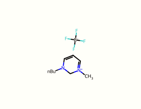 CCCCN1C=CC=[N+](C)C1.F[B-](F)(F)F